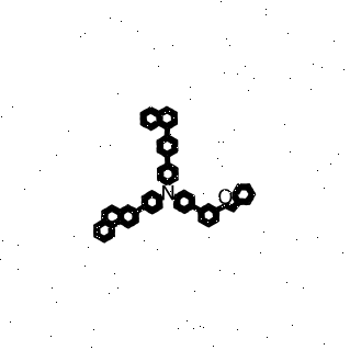 c1cc(-c2ccc(N(c3ccc(-c4ccc(-c5cccc6ccccc56)cc4)cc3)c3ccc(-c4ccc5c(ccc6ccccc65)c4)cc3)cc2)cc(-c2cc3ccccc3o2)c1